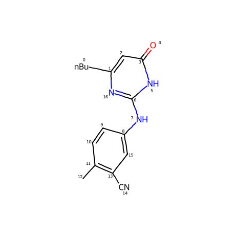 CCCCc1cc(=O)[nH]c(Nc2ccc(C)c(C#N)c2)n1